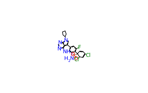 Nc1ncnc2c1c(-c1ccc(C3(S(N)(=O)=O)C=CC(Cl)=CC3Cl)c(F)c1)cn2C1CCCC1